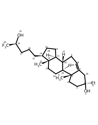 CC[C@]1(O)CC[C@@]2(C)C(=CC[C@H]3[C@@H]4CC[C@H](CCC[C@H](O)C(F)(F)F)[C@@]4(C)CC[C@@H]32)C1